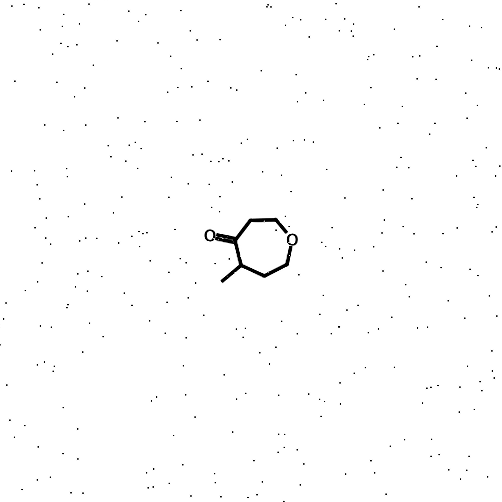 CC1CCOCCC1=O